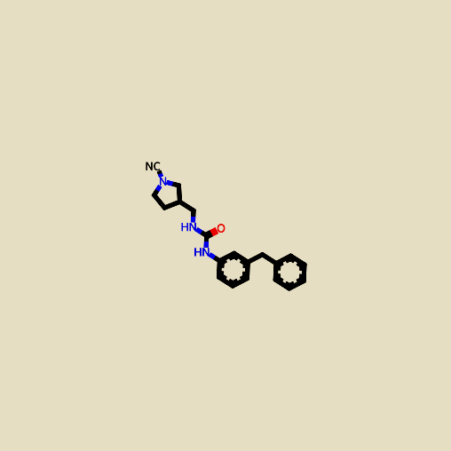 N#CN1CCC(CNC(=O)Nc2cccc(Cc3ccccc3)c2)C1